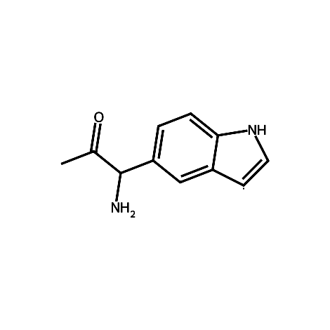 CC(=O)C(N)c1ccc2[nH]c[c]c2c1